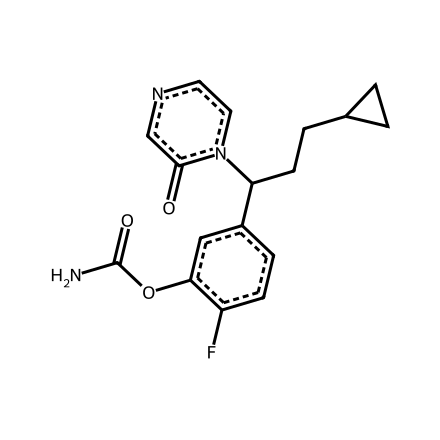 NC(=O)Oc1cc(C(CCC2CC2)n2ccncc2=O)ccc1F